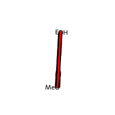 CCC(O)COCCOCCOCCOCCOCCOCCOCCOCCOCCOCCOCCOCCOCCOCCOCCOCCOCCOCCOCCOCCCOCCCOCCCOCCCOCCCOCCCOCCCOCCCOCCCOCCCOCCCOCCCOCCCOCCCOCCCOCCCOCCCOCCCOCCCOC